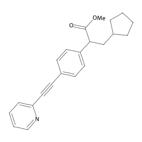 COC(=O)C(CC1CCCC1)c1ccc(C#Cc2ccccn2)cc1